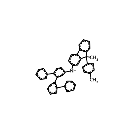 Cc1ccc(C2(C)c3ccccc3-c3ccc(Nc4ccc(-c5ccccc5)c(-c5ccccc5-c5ccccc5)c4)cc32)cc1